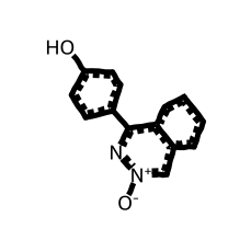 [O-][n+]1cc2ccccc2c(-c2ccc(O)cc2)n1